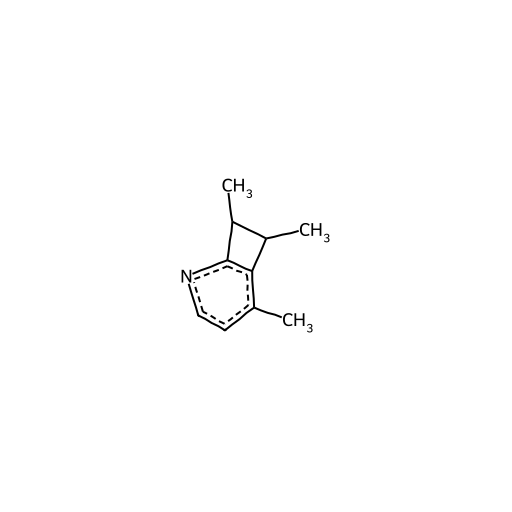 Cc1ccnc2c1C(C)C2C